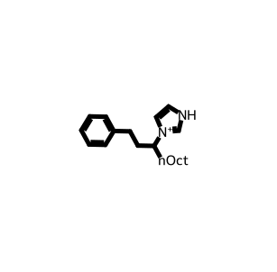 CCCCCCCCC(CCc1ccccc1)[n+]1cc[nH]c1